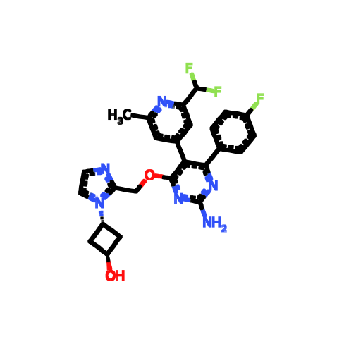 Cc1cc(-c2c(OCc3nccn3[C@H]3C[C@H](O)C3)nc(N)nc2-c2ccc(F)cc2)cc(C(F)F)n1